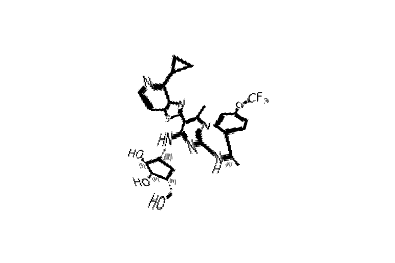 Cc1nc(N[C@H](C)c2ccc(OC(F)(F)F)cc2)nc(N[C@@H]2C[C@H](CO)[C@@H](O)[C@H]2O)c1-c1nc2c(C3CC3)nccc2s1